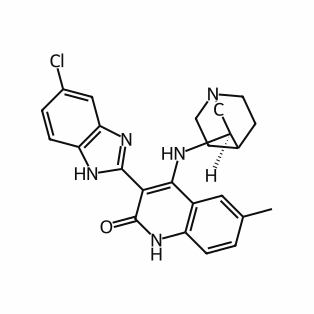 Cc1ccc2[nH]c(=O)c(-c3nc4cc(Cl)ccc4[nH]3)c(N[C@H]3CN4CCC3CC4)c2c1